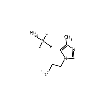 CCCn1cnc(C)c1.F[B-](F)(F)F.N